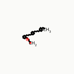 C=CCCOCc1ccccc1CCCCc1ccc(CCCCc2ccc(/C=C\C)cc2)cc1